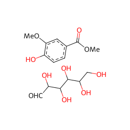 COC(=O)c1ccc(O)c(OC)c1.O=CC(O)C(O)C(O)C(O)CO